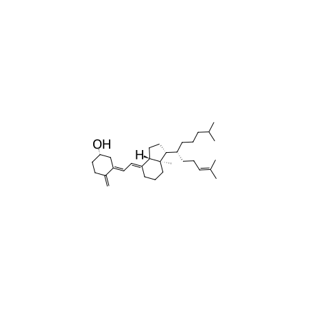 C=C1CC[C@H](O)C/C1=C\C=C1/CCC[C@]2(C)[C@@H]([C@@H](CCC=C(C)C)CCCC(C)C)CC[C@@H]12